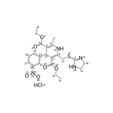 CCOC(=O)C1=C(C)NC(CSC2=NCCN2)=C(C(=O)OCC)C1c1cccc([N+](=O)[O-])c1.Cl